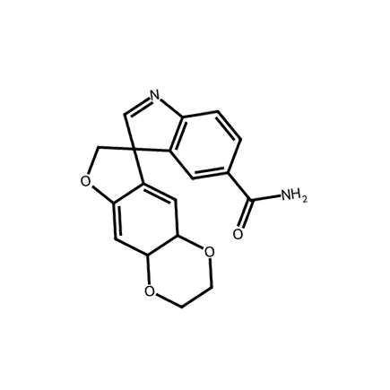 NC(=O)c1ccc2c(c1)C1(C=N2)COC2=CC3OCCOC3C=C21